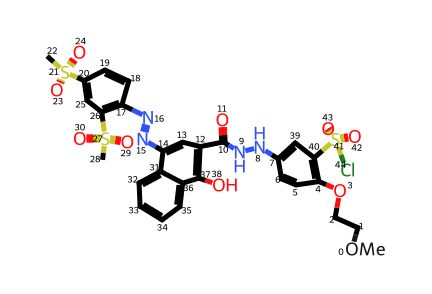 COCCOc1ccc(NNC(=O)c2cc(N=Nc3ccc(S(C)(=O)=O)cc3S(C)(=O)=O)c3ccccc3c2O)cc1S(=O)(=O)Cl